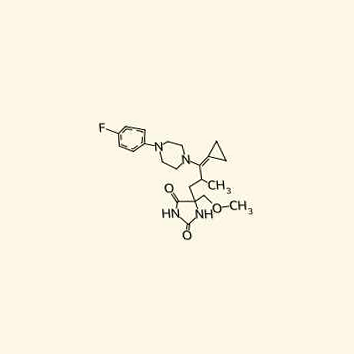 COCC1(CC(C)C(=C2CC2)N2CCN(c3ccc(F)cc3)CC2)NC(=O)NC1=O